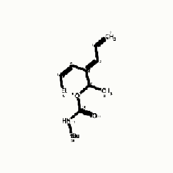 C=C/C=C(\C=C/CC)C(C)OC(=O)NC(C)(C)C